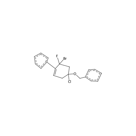 FC1(Br)CC(Cl)(OCc2ccccc2)CC=C1c1ccccc1